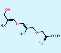 C=C(COC/C(C)=C/O/C=C(\C)CO)C(=O)OCC